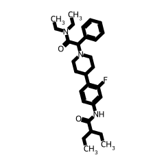 CCC(CC)C(=O)Nc1ccc(C2CCN(C(C(=O)N(CC)CC)c3ccccc3)CC2)c(F)c1